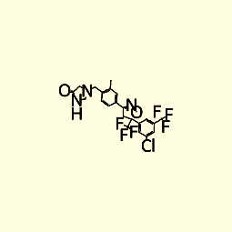 Cc1cc(C2=NOC(c3cc(Cl)cc(C(F)(F)F)c3)(C(F)(F)F)C2)ccc1CN1CNC(=O)C1